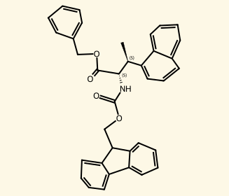 C[C@@H](c1cccc2ccccc12)[C@H](NC(=O)OCC1c2ccccc2-c2ccccc21)C(=O)OCc1ccccc1